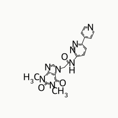 Cn1c(=O)c2c(ncn2CC(=O)Nc2ccc(-c3ccncc3)nn2)n(C)c1=O